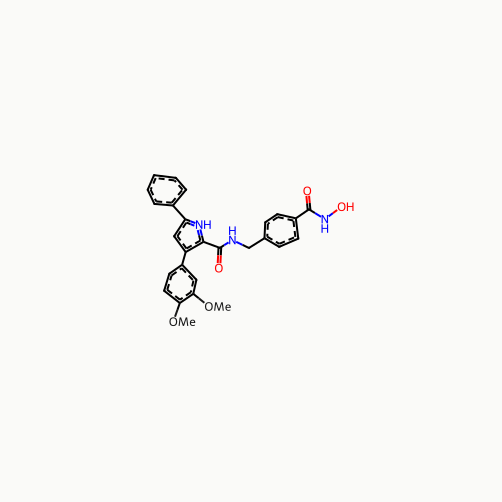 COc1ccc(-c2cc(-c3ccccc3)[nH]c2C(=O)NCc2ccc(C(=O)NO)cc2)cc1OC